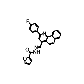 O=C(NN=Cc1cc(-c2ccc(F)cc2)nc2c1ccc1ccccc12)c1ccco1